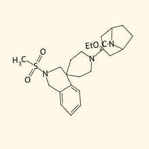 CCOC(=O)N1C2CCC1CC(N1CCC3(CC1)CN(S(C)(=O)=O)Cc1ccccc13)C2